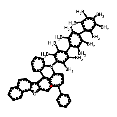 Bc1c(B)c(B)c(-c2c(B)c(B)c(-c3c(B)c(B)c(N(c4ccc(-c5ccccc5)cc4)c4ccccc4-c4cccc5oc6c7ccccc7ccc6c45)c(B)c3B)c(B)c2B)c(B)c1B